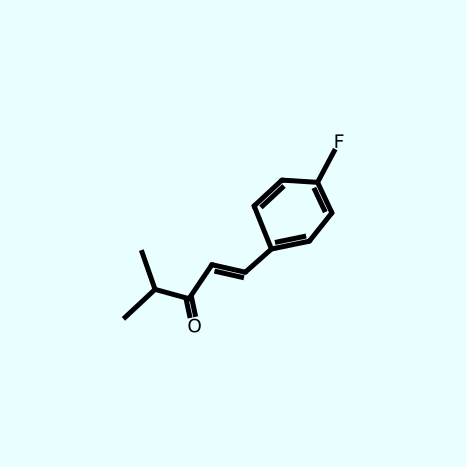 CC(C)C(=O)/C=C/c1ccc(F)cc1